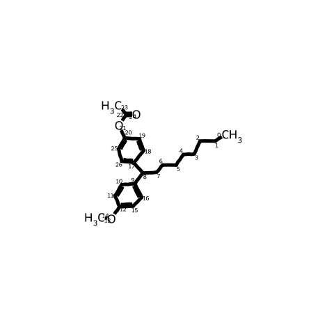 CCCCCCCCC(c1ccc(OC)cc1)c1ccc(OC(C)=O)cc1